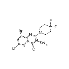 Cn1c(N2CCC(F)(F)CC2)nc2c(Br)cc(Cl)nc2c1=O